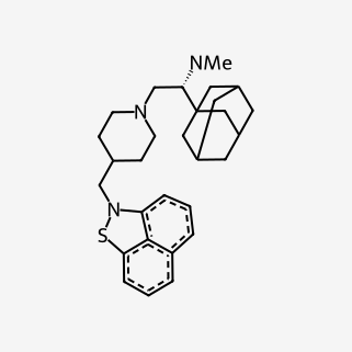 CN[C@@H](CN1CCC(CN2Sc3cccc4cccc2c34)CC1)C12CC3CC(CC(C3)C1)C2